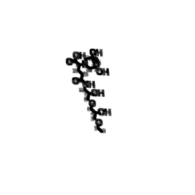 CCOCC(O)COCC(O)CNC(=O)CCC(C(=O)O)N(CC(=O)O)CC(=O)O